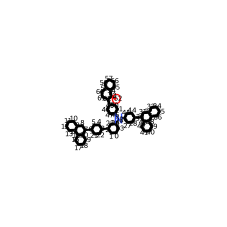 c1cc(-c2ccc(-c3cc4ccccc4c4ccccc34)cc2)cc(N(c2ccc(-c3cc4ccccc4c4ccccc34)cc2)c2ccc3c(c2)oc2c4ccccc4ccc32)c1